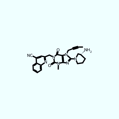 CC#CCn1c(N2CCC[C@@H](N)C2)nc2c1c(=O)n(Cc1cc(C#N)c3ccccc3n1)c(=O)n2C